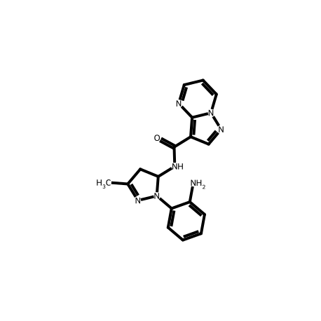 CC1=NN(c2ccccc2N)C(NC(=O)c2cnn3cccnc23)C1